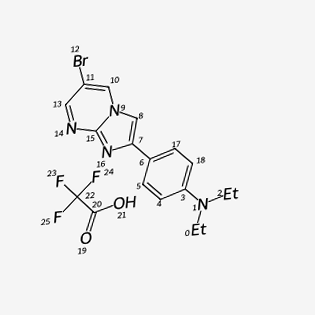 CCN(CC)c1ccc(-c2cn3cc(Br)cnc3n2)cc1.O=C(O)C(F)(F)F